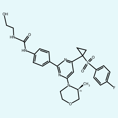 C[C@H]1COCCN1c1cc(C2(S(=O)(=O)c3ccc(F)cc3)CC2)nc(-c2ccc(NC(=O)NCCO)cc2)n1